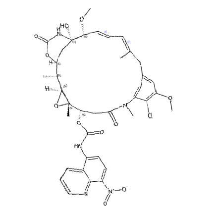 COc1cc2cc(c1Cl)N(C)C(=O)C[C@H](OC(=O)Nc1ccc([N+](=O)[O-])c3ncccc13)[C@]1(C)O[C@H]1[C@H](C)[C@@H]1C[C@@](O)(NC(=O)O1)[C@H](OC)/C=C/C=C(\C)C2